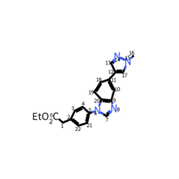 CCOC(=O)Cc1ccc(-n2cnc3cc(-c4cnn(C)c4)ccc32)cc1